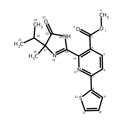 COC(=O)c1ccc(-c2cccs2)nc1C1=NC(C)(C(C)C)C(=O)N1